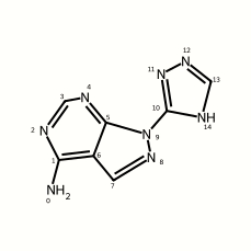 Nc1ncnc2c1cnn2-c1nnc[nH]1